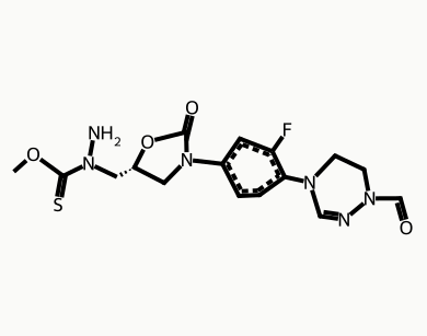 COC(=S)N(N)C[C@H]1CN(c2ccc(N3C=NN(C=O)CC3)c(F)c2)C(=O)O1